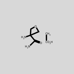 CC(=O)O.NC(=O)C1(N)COC1